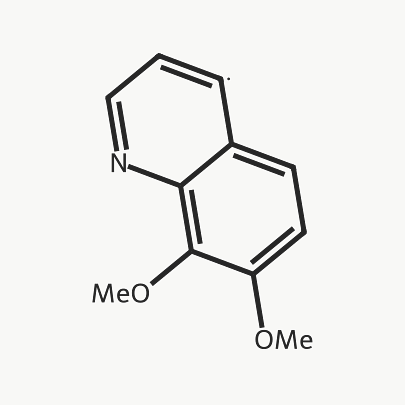 COc1ccc2[c]ccnc2c1OC